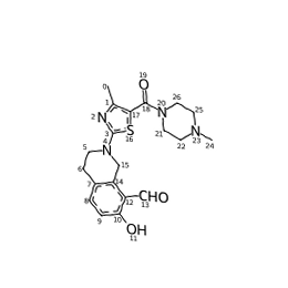 Cc1nc(N2CCc3ccc(O)c(C=O)c3C2)sc1C(=O)N1CCN(C)CC1